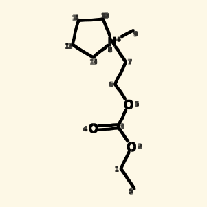 CCOC(=O)OCC[N+]1(C)CCCC1